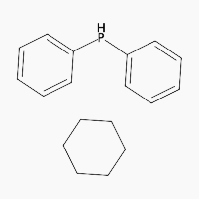 C1CCCCC1.c1ccc(Pc2ccccc2)cc1